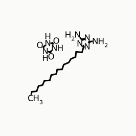 CCCCCCCCCCCCCCCCCc1nc(N)nc(N)n1.O=c1[nH]c(=O)[nH]c(=O)[nH]1